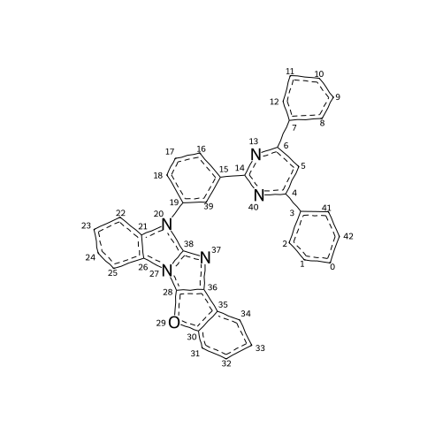 c1ccc(-c2cc(-c3ccccc3)nc(-c3cccc(-n4c5ccccc5n5c6oc7ccccc7c6nc45)c3)n2)cc1